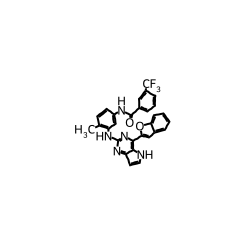 Cc1ccc(NC(=O)c2cccc(C(F)(F)F)c2)cc1Nc1nc(-c2cc3ccccc3o2)c2[nH]ccc2n1